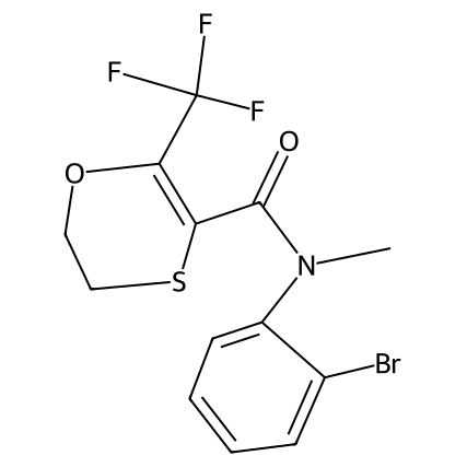 CN(C(=O)C1=C(C(F)(F)F)OCCS1)c1ccccc1Br